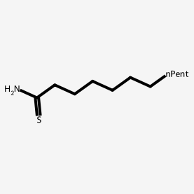 CCCCCCCCCCCC(N)=S